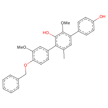 COc1cc(-c2c(C)cc(-c3ccc(O)cc3)c(OC)c2O)ccc1OCc1ccccc1